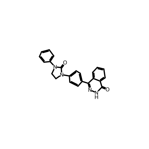 O=C1N(c2ccccc2)CCN1c1ccc(-c2n[nH]c(=O)c3ccccc23)cc1